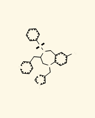 N#Cc1ccc2c(c1)CN(S(=O)(=O)c1ccccc1)C(Cc1cccnc1)CN2Cc1c[nH]cn1